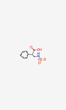 O=C(O)[C@@H](CN[SH](=O)=O)c1ccccc1